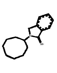 N=C1c2ccccc2CN1C1CCCCCCC1